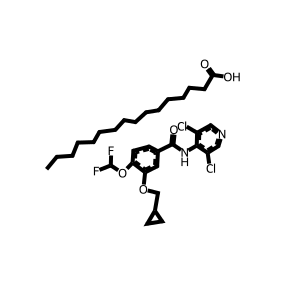 CCCCCCCCCCCCCCCC(=O)O.O=C(Nc1c(Cl)cncc1Cl)c1ccc(OC(F)F)c(OCC2CC2)c1